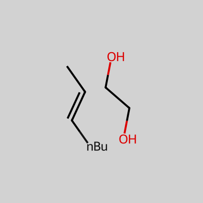 CC=CCCCC.OCCO